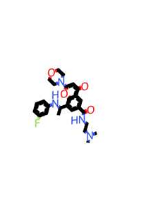 CC(Nc1cccc(F)c1)c1cc(C(=O)NCCN(C)C)cc2c(=O)cc(N3CCOCC3)oc12